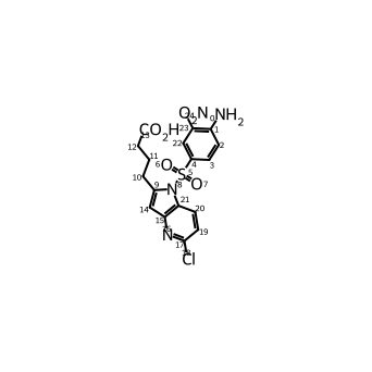 Nc1ccc(S(=O)(=O)n2c(CCCC(=O)O)cc3nc(Cl)ccc32)cc1[N+](=O)[O-]